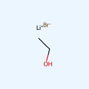 CCO.[Br-].[Li+]